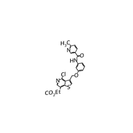 CCOC(=O)c1cnc(Cl)c2c(COc3cccc(NC(=O)c4ccc(C)nc4)c3)csc12